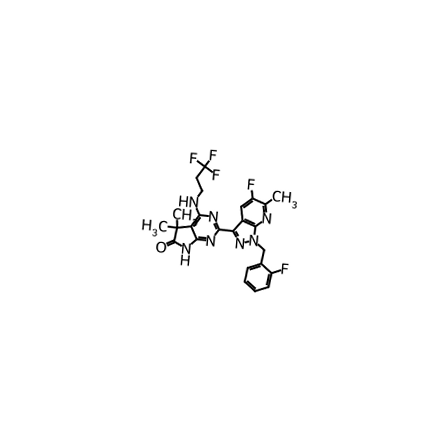 Cc1nc2c(cc1F)c(-c1nc(NCCC(F)(F)F)c3c(n1)NC(=O)C3(C)C)nn2Cc1ccccc1F